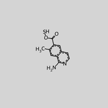 Cc1cc2c(N)nccc2cc1C(=O)OS